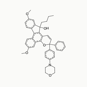 CCCCC1(O)c2cc(OC)ccc2-c2c1c1c(c3cc(OC)ccc23)OC(c2ccccc2)(c2ccc(N3CCOCC3)cc2)C=C1